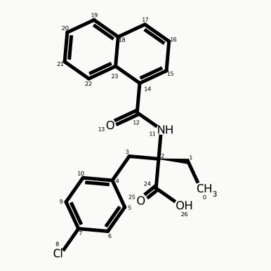 CC[C@@](Cc1ccc(Cl)cc1)(NC(=O)c1cccc2ccccc12)C(=O)O